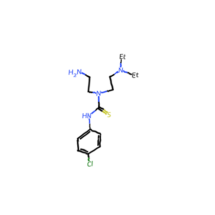 CCN(CC)CCN(CCN)C(=S)Nc1ccc(Cl)cc1